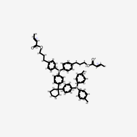 C/C=C/C(=O)OCCCc1ccc(N(c2ccc(CCCOC(=O)/C=C/C)cc2)c2ccc(C3(c4ccc(N(c5ccc(C)cc5)c5ccc(C)cc5)cc4)CCCCC3)cc2)cc1